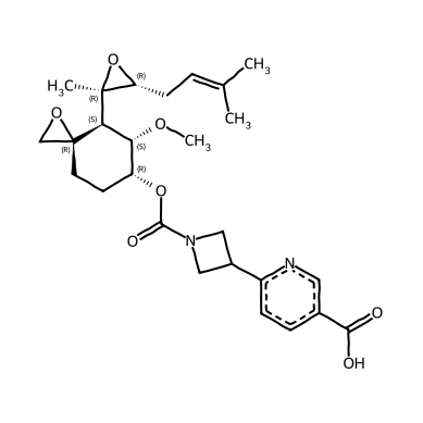 CO[C@@H]1[C@H](OC(=O)N2CC(c3ccc(C(=O)O)cn3)C2)CC[C@]2(CO2)[C@H]1[C@@]1(C)O[C@@H]1CC=C(C)C